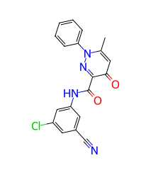 Cc1cc(=O)c(C(=O)Nc2cc(Cl)cc(C#N)c2)nn1-c1ccccc1